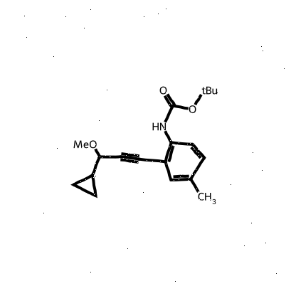 COC(C#Cc1cc(C)ccc1NC(=O)OC(C)(C)C)C1CC1